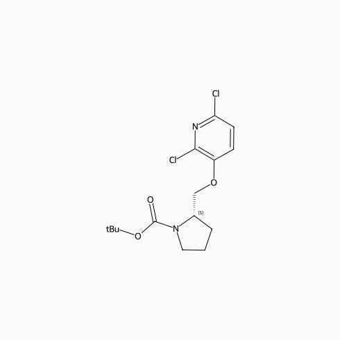 CC(C)(C)OC(=O)N1CCC[C@H]1COc1ccc(Cl)nc1Cl